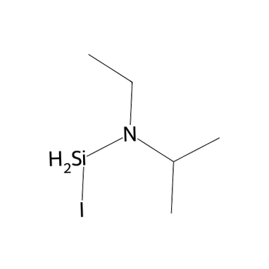 CCN([SiH2]I)C(C)C